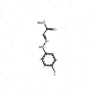 COC(=O)C=NNc1ccc(F)cc1